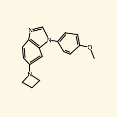 COc1ccc(-n2cnc3ccc(N4C[CH]C4)cc32)cc1